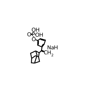 C=C(c1cccc(OP(=O)(O)O)c1)C1C2CC3CC(C2)CC1C3.[NaH]